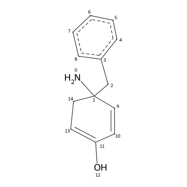 NC1(Cc2ccccc2)C=CC(O)=CC1